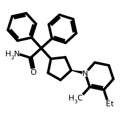 CCC1=C(C)N([C@H]2CCC(C(C(N)=O)(c3ccccc3)c3ccccc3)C2)CCC1